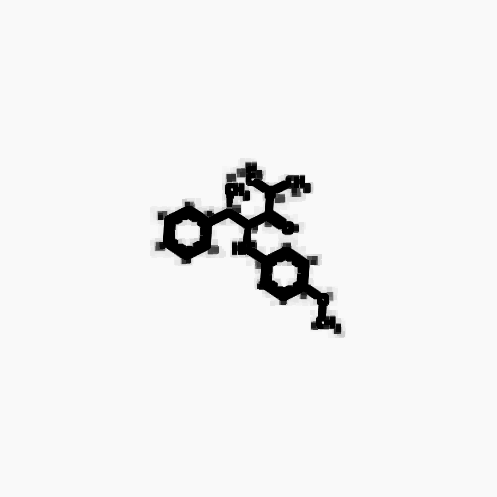 COc1ccc(N[C@H](C(=O)N(C)C)[C@@H](C)c2ccccc2)cc1